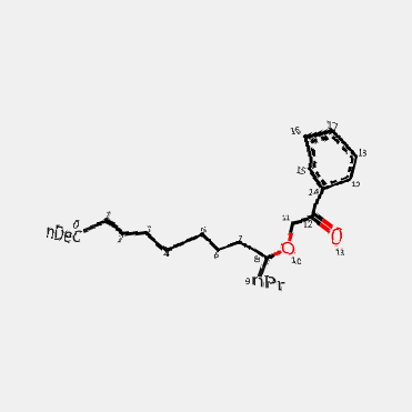 CCCCCCCCCCCCCCCCCC(CCC)OCC(=O)c1ccccc1